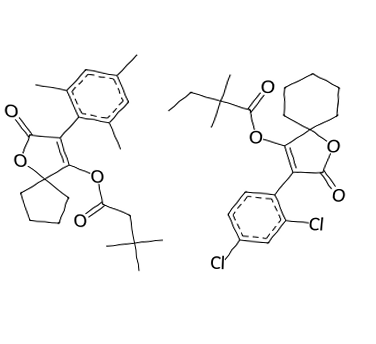 CCC(C)(C)C(=O)OC1=C(c2ccc(Cl)cc2Cl)C(=O)OC12CCCCC2.Cc1cc(C)c(C2=C(OC(=O)CC(C)(C)C)C3(CCCC3)OC2=O)c(C)c1